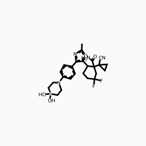 Cc1nc(-c2ccc(N3CCS(O)(O)CC3)cc2)c(C2CCC(F)(F)CC2(C(N)=O)C2(C#N)CC2)o1